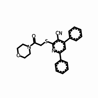 N#Cc1c(-c2ccccc2)cc(-c2ccccc2)nc1SCC(=O)N1CCOCC1